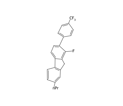 CCCc1ccc2c(c1)Cc1c-2ccc(-c2ccc(C(F)(F)F)cc2)c1F